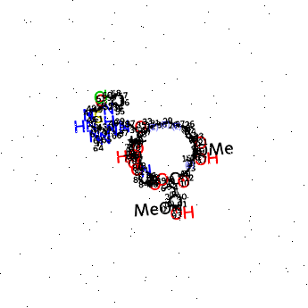 CO[C@@H]1C[C@@H](CC(C)[C@@H]2CC(=O)[C@H](C)/C=C(\C)[C@@H](O)[C@@H](OC)C(=O)[C@H](C)C[C@H](C)/C=C/C=C/C=C(/C)[C@@H](OCCN3CCN(c4cc(Nc5ncc(C(=O)Nc6c(C)cccc6Cl)s5)nc(C)n4)CC3)C[C@@H]3CC[C@@H](C)[C@@](O)(O3)C(=O)C(=O)N3CCCC[C@H]3C(=O)O2)CC[C@H]1O